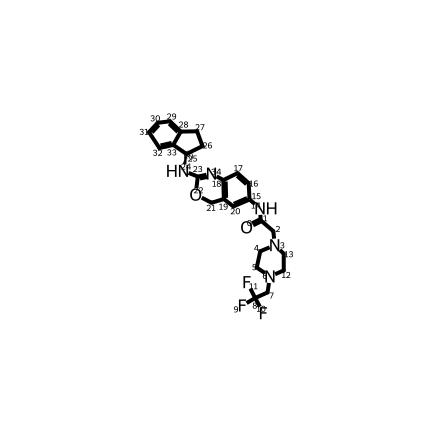 O=C(CN1CCN(CC(F)(F)F)CC1)Nc1ccc2c(c1)COC(N[C@@H]1CCc3ccccc31)=N2